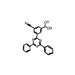 N#Cc1cc(B(O)O)cc(-c2nc(-c3ccccc3)nc(-c3ccccc3)n2)c1